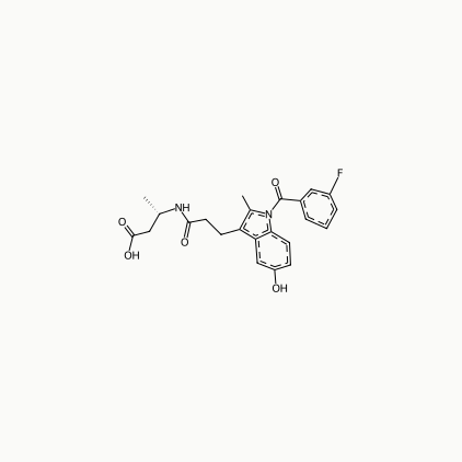 Cc1c(CCC(=O)N[C@@H](C)CC(=O)O)c2cc(O)ccc2n1C(=O)c1cccc(F)c1